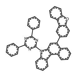 c1ccc(-c2nc(-c3ccccc3)nc(-n3c4ccccc4c4c5ccccc5c(-c5ccc6oc7ccccc7c6c5)cc43)n2)cc1